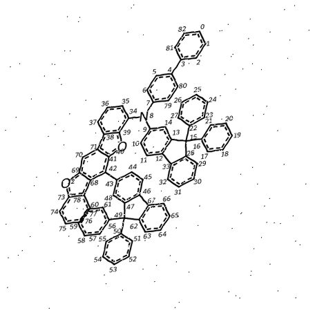 c1ccc(-c2ccc(N(c3ccc4c(c3)C(c3ccccc3)(c3ccccc3)c3ccccc3-4)c3cccc4c3oc3c(-c5ccc6c(c5)C(c5ccccc5)(c5ccccc5)c5ccccc5-6)c5c(cc34)oc3ccccc35)cc2)cc1